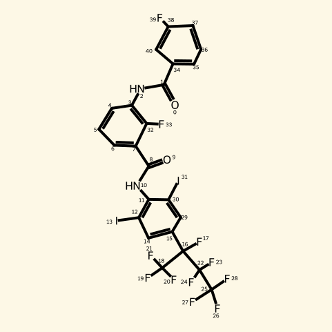 O=C(Nc1cccc(C(=O)Nc2c(I)cc(C(F)(C(F)(F)F)C(F)(F)C(F)(F)F)cc2I)c1F)c1cccc(F)c1